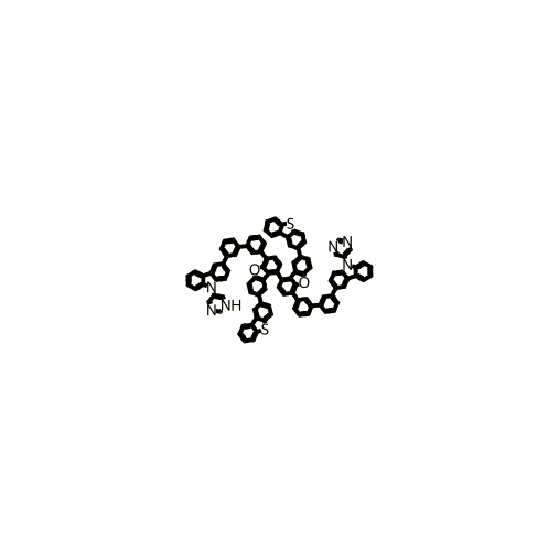 C1=NCNC=C1n1c2ccccc2c2cc(-c3cccc(-c4cccc(-c5ccc(-c6ccc(-c7cccc(-c8cccc(-c9ccc%10c(c9)c9ccccc9n%10-c9cncnc9)c8)c7)c7oc8ccc(-c9ccc%10sc%11ccccc%11c%10c9)cc8c67)c6c5oc5ccc(-c7ccc8sc9ccccc9c8c7)cc56)c4)c3)ccc21